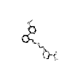 COc1cccc(-c2ccccc2C=NOCCN2CCC=C(C(=O)O)C2)c1